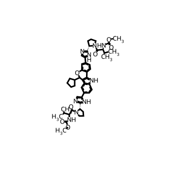 COC(=O)NC(C(=O)N1CCC[C@H]1c1ncc(-c2ccc3[nH]c4c(c3c2)C(C2CCCC2)Oc2cc(-c3cnc([C@@H]5CCCN5C(=O)[C@@H](NC(=O)OC)C(C)C)[nH]3)ccc2-4)[nH]1)C(C)C